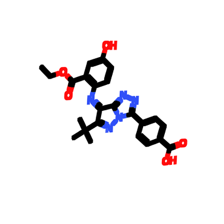 CCOC(=O)c1cc(O)ccc1N=C1C(C(C)(C)C)=Nn2c1nnc2-c1ccc(C(=O)O)cc1